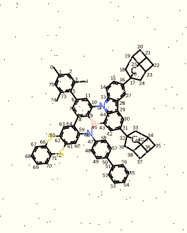 Cc1cc(C)c(-c2cc3c4c(c2)-n2c5ccc(C67CC8CC9CC(C6)C98C7)cc5c5cc(C67CC8CC9CC(C6)C98C7)cc(c52)B4N(c2ccc(-c4ccccc4)cc2)c2cc4c(cc2-3)Sc2ccccc2S4)c(C)c1